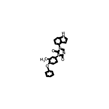 Cc1cc(-n2c(=O)ncn(-c3cccc4[nH]ccc34)c2=O)ccc1Oc1ccccc1